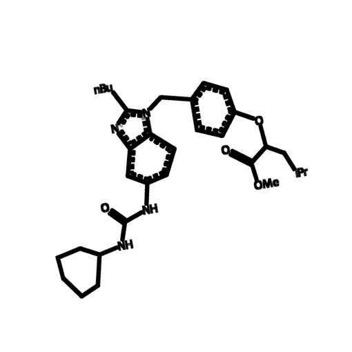 CCCCc1nc2cc(NC(=O)NC3CCCCC3)ccc2n1Cc1ccc(OC(CC(C)C)C(=O)OC)cc1